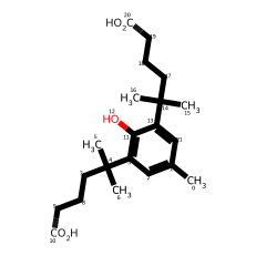 Cc1cc(C(C)(C)CCCC(=O)O)c(O)c(C(C)(C)CCCC(=O)O)c1